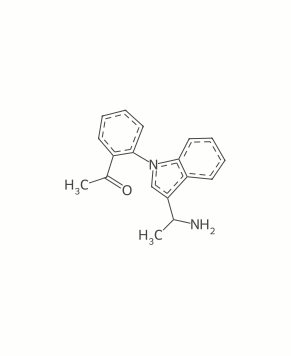 CC(=O)c1ccccc1-n1cc(C(C)N)c2ccccc21